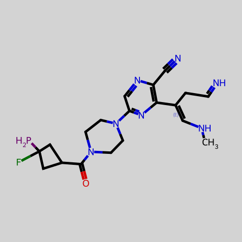 CN/C=C(\CC=N)c1nc(N2CCN(C(=O)C3CC(F)(P)C3)CC2)cnc1C#N